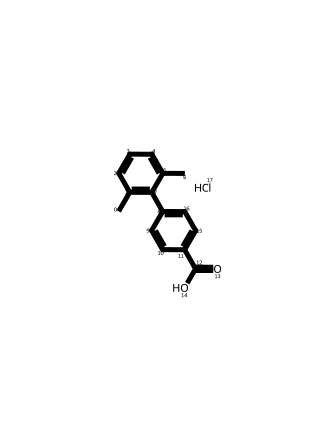 Cc1cccc(C)c1-c1ccc(C(=O)O)cc1.Cl